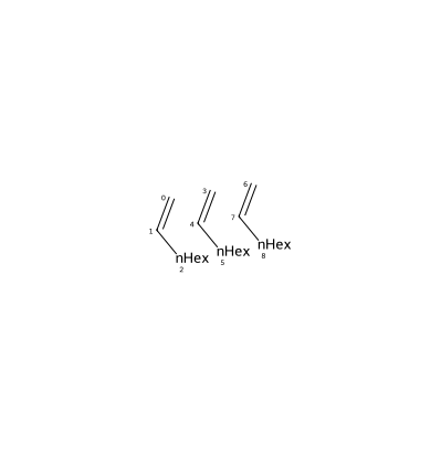 C=CCCCCCC.C=CCCCCCC.C=CCCCCCC